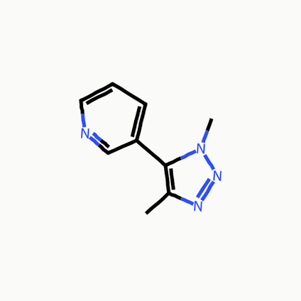 Cc1nnn(C)c1-c1cccnc1